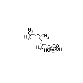 CC(C)=CCCC(C)=CCCC(C)=CCCC(OP(=O)(O)O)[PH](=O)O